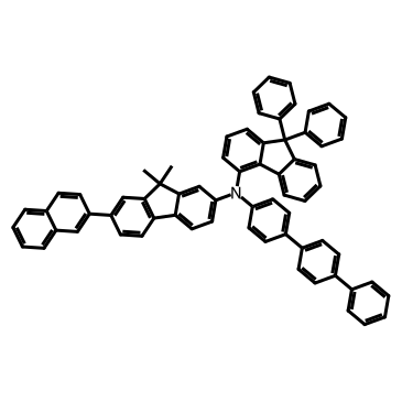 CC1(C)c2cc(-c3ccc4ccccc4c3)ccc2-c2ccc(N(c3ccc(-c4ccc(-c5ccccc5)cc4)cc3)c3cccc4c3-c3ccccc3C4(c3ccccc3)c3ccccc3)cc21